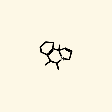 CC1C2=C(CCCC2)C2(C)C=CCN2C1C